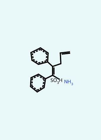 C=CCC(=C(c1ccccc1)S(=O)(=O)O)c1ccccc1.N